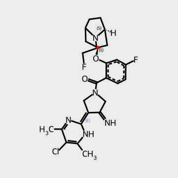 CC1=N/C(=C2\CN(C(=O)c3ccc(F)cc3O[C@H]3CC4CC[C@@H](C3)N4CCF)CC2=N)NC(C)=C1Cl